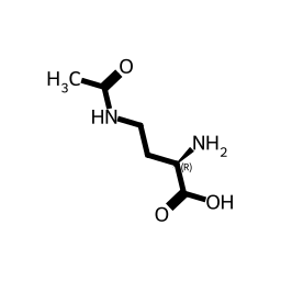 CC(=O)NCC[C@@H](N)C(=O)O